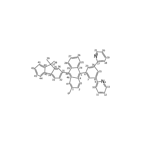 Cc1ccc2c(-c3cc(-c4ccccn4)cc(-c4ccccn4)c3)c3ccccc3c(-c3ccc4c(c3)C(C)(C)c3ccccc3-4)c2c1